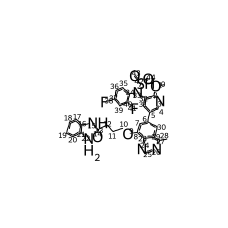 COc1ncc(-c2cc(OCCCC(=O)Nc3ccccc3N)c3ncnc(C)c3c2)cc1N(c1ccc(F)cc1F)[SH](=O)=O